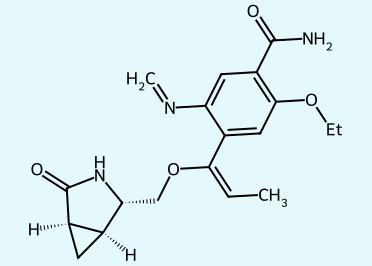 C=Nc1cc(C(N)=O)c(OCC)cc1/C(=C\C)OC[C@H]1NC(=O)[C@@H]2C[C@H]12